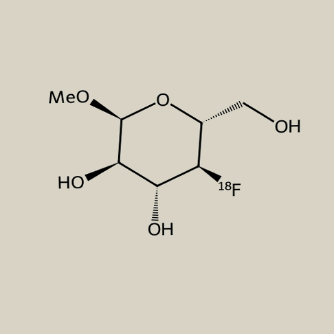 CO[C@H]1O[C@H](CO)[C@@H]([18F])[C@H](O)[C@H]1O